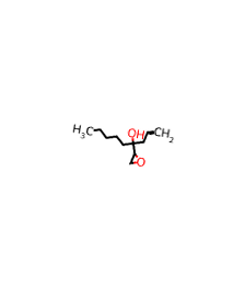 C=CCC(O)(CCCCC)C1CO1